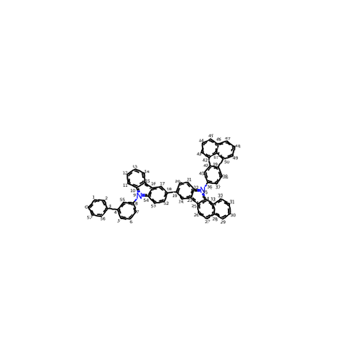 c1ccc(-c2cccc(-n3c4ccccc4c4cc(-c5ccc6c(c5)c5ccc7ccccc7c5n6-c5ccc6c(c5)-c5cccc7cccc-6c57)ccc43)c2)cc1